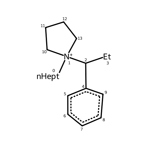 CCCCCCC[N+]1(C(CC)c2ccccc2)CCCC1